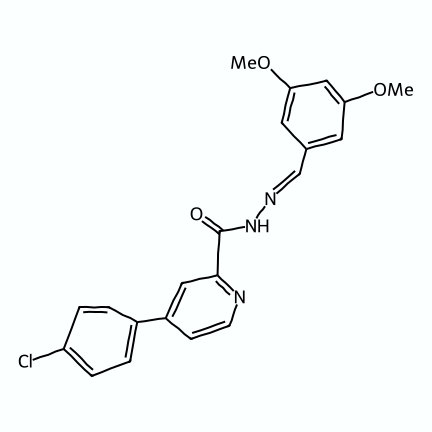 COc1cc(/C=N/NC(=O)c2cc(-c3ccc(Cl)cc3)ccn2)cc(OC)c1